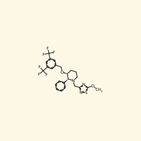 COc1nc(CN2CCC[C@H](OCc3cc(C(F)(F)F)cc(C(F)(F)F)c3)[C@@H]2c2ccccc2)ns1